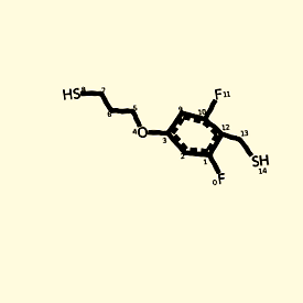 Fc1cc(OCCCS)cc(F)c1CS